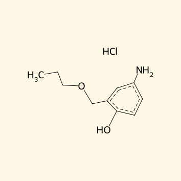 CCCOCc1cc(N)ccc1O.Cl